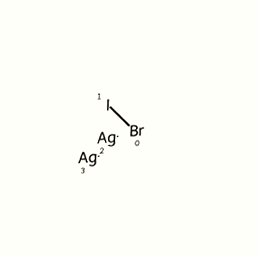 BrI.[Ag].[Ag]